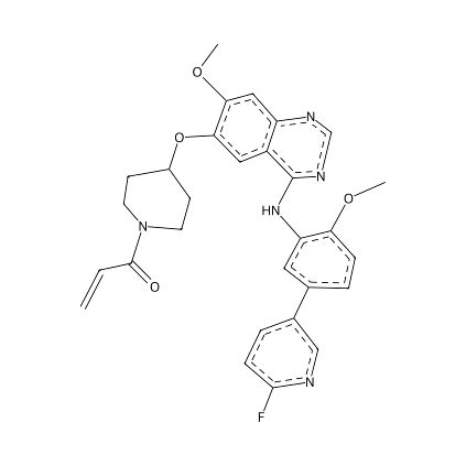 C=CC(=O)N1CCC(Oc2cc3c(Nc4cc(-c5ccc(F)nc5)ccc4OC)ncnc3cc2OC)CC1